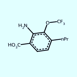 CCCc1ccc(C(=O)O)c(N)c1OC(F)(F)F